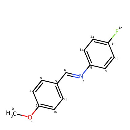 COc1ccc(/C=N/c2ccc(F)cc2)cc1